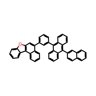 c1cc(-c2c3ccccc3c(-c3ccc4ccccc4c3)c3ccccc23)cc(-c2cc3oc4ccccc4c3c3ccccc23)c1